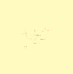 CO[C@H]1OC2COS(=O)(=O)O[C@H]2[C@@H]2OC(C)(C)OC12